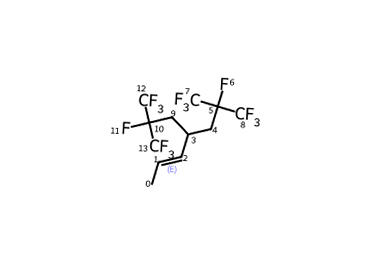 C/C=C/C(CC(F)(C(F)(F)F)C(F)(F)F)CC(F)(C(F)(F)F)C(F)(F)F